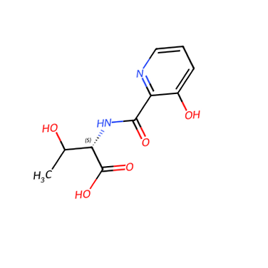 CC(O)[C@H](NC(=O)c1ncccc1O)C(=O)O